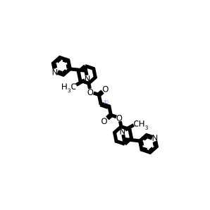 CN1C(c2cccnc2)C2CCC1(OC(=O)/C=C/C(=O)OC13CCC(CC1)C(c1cccnc1)N3C)CC2